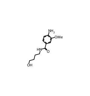 COc1cc(C(=O)NCCCCO)ccc1N